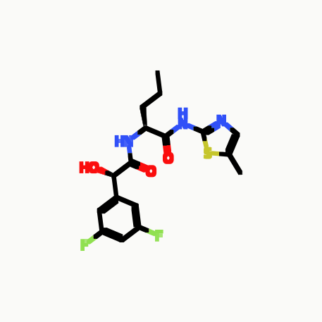 CCC[C@H](NC(=O)[C@H](O)c1cc(F)cc(F)c1)C(=O)Nc1ncc(C)s1